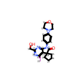 O=C1N(c2ccc(N3CCOCC3)cc2)c2nc(CO)nc(I)c2C12CCCC2